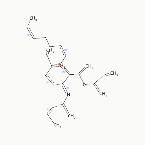 C=CC(=C)\C=C/C(=N\C(=C)/C=C\C)C(=C/C=C\CC/C=C\C)/C(=C)OC(=C)C=C